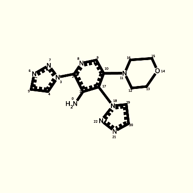 Nc1c(-n2ccnn2)ncc(N2CCOCC2)c1-n1ccnn1